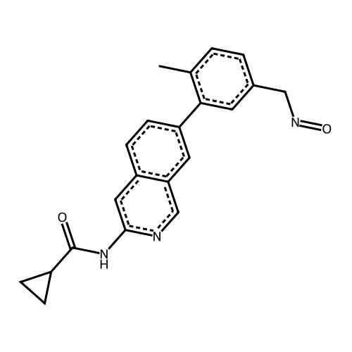 Cc1ccc(CN=O)cc1-c1ccc2cc(NC(=O)C3CC3)ncc2c1